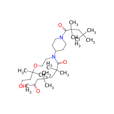 CC(=O)CC(C)(C)CC(C)(C)C(=O)N(CCOC(C)(C)CCO)C1CCN(C(=O)C(C)(C)CC(C)(C)C)CC1